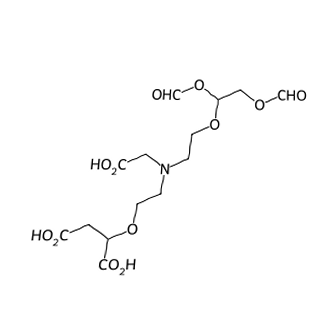 O=COCC(OC=O)OCCN(CCOC(CC(=O)O)C(=O)O)CC(=O)O